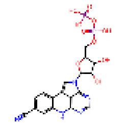 N#Cc1ccc2c(c1)Nc1ncnc3c1c-2cn3C1OC(COP(=O)(O)OP(=O)(O)O)C(O)C1O